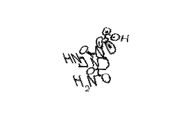 NC(=O)C1(OC2CNC2)CCC2CN1C(=O)N2OS(=O)(=O)O